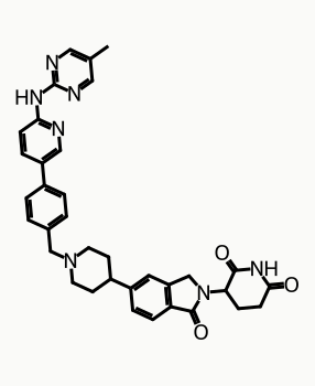 Cc1cnc(Nc2ccc(-c3ccc(CN4CCC(c5ccc6c(c5)CN(C5CCC(=O)NC5=O)C6=O)CC4)cc3)cn2)nc1